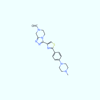 CN1CCN(c2ccc(-c3nc(-c4nnc5n4CCN(C=O)C5)cs3)cc2)CC1